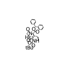 CC(C)(C)OC(=O)NC1C(CI)=C(C(=O)OC(c2ccccc2)c2ccccc2)N2C(=O)C[C@H]2[S+]1[O-]